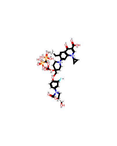 CCc1cc2c(=O)c(C(=O)O)cn(C3CC3)c2cc1N1CCC(COc2ccc(N3C[C@H](CO)OC3=O)cc2F)(OC(=O)OC(P(=O)(O)O)P(=O)(O)O)CC1